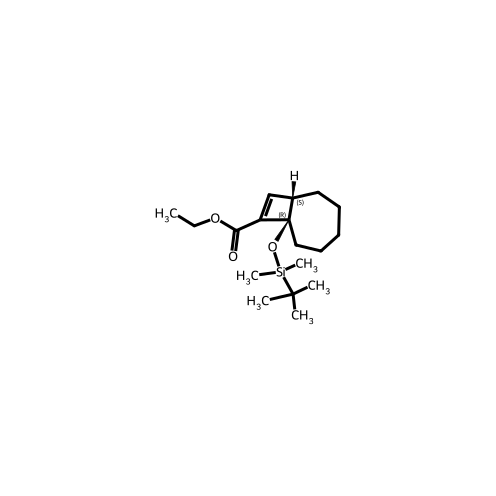 CCOC(=O)C1=C[C@@H]2CCCCC[C@]12O[Si](C)(C)C(C)(C)C